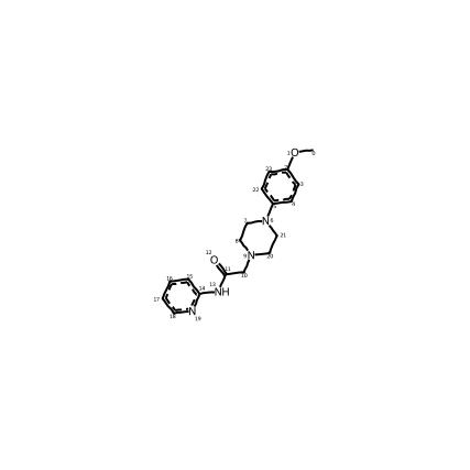 COc1ccc(N2CCN(CC(=O)Nc3ccccn3)CC2)cc1